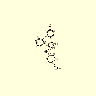 Clc1ccc(-c2[nH]nc(NC3CCN(C4CC4)CC3)c2-c2ccncc2)cc1